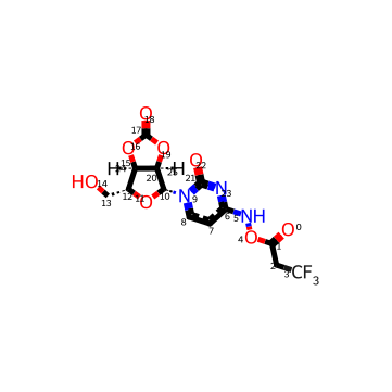 O=C(CC(F)(F)F)ONc1ccn([C@@H]2O[C@H](CO)[C@H]3OC(=O)O[C@H]32)c(=O)n1